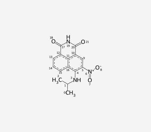 CC(C)Nc1c([N+](=O)[O-])cc2c3c(cccc13)C(=O)NC2=O